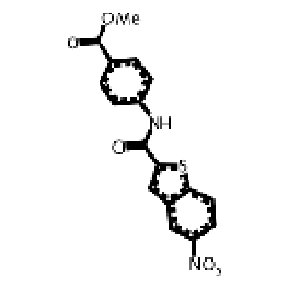 COC(=O)c1ccc(NC(=O)c2cc3cc([N+](=O)[O-])ccc3s2)cc1